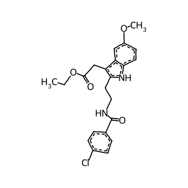 CCOC(=O)Cc1c(CCNC(=O)c2ccc(Cl)cc2)[nH]c2ccc(OC)cc12